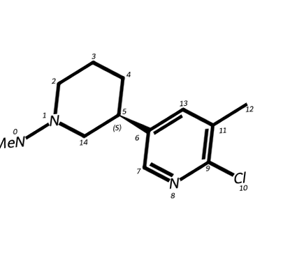 CNN1CCC[C@@H](c2cnc(Cl)c(C)c2)C1